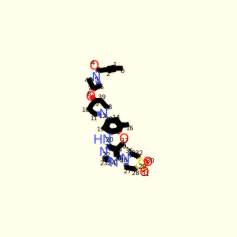 CC#CC(=O)N1CC(OC2CCN(c3cc(C)c4c(c3)Nc3ncnc(N5CCS(=O)(=O)CC5)c3[C@@H](C)O4)CC2)C1